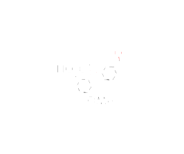 COc1ccccc1Cc1cc2c(cc1OC(C)(C)C(=O)O)C(=O)CC2